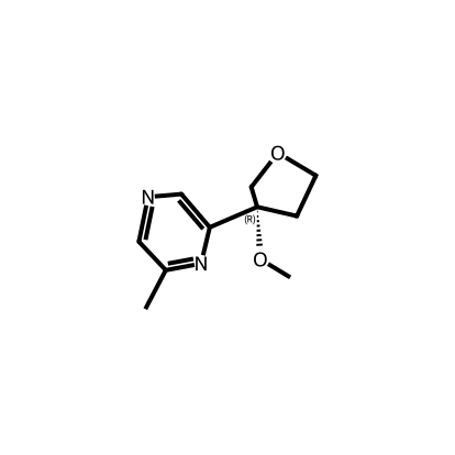 CO[C@@]1(c2cncc(C)n2)CCOC1